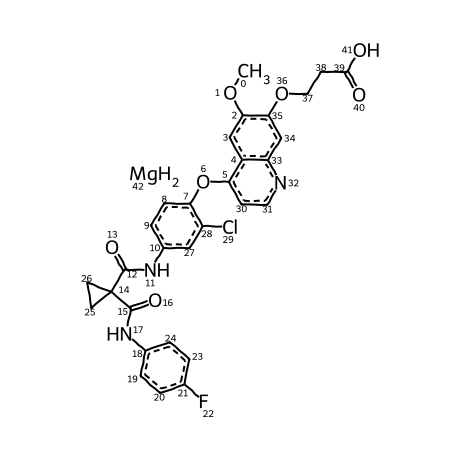 COc1cc2c(Oc3ccc(NC(=O)C4(C(=O)Nc5ccc(F)cc5)CC4)cc3Cl)ccnc2cc1OCCC(=O)O.[MgH2]